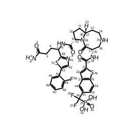 NC(=O)CCC(NC(=O)[C@@H]1CC[C@@H]2CCNC[C@H](NC(=O)c3cc4cc(C(F)(F)P(=O)(O)O)ccc4s3)C(=O)N21)c1ncc(-c2ccccc2F)s1